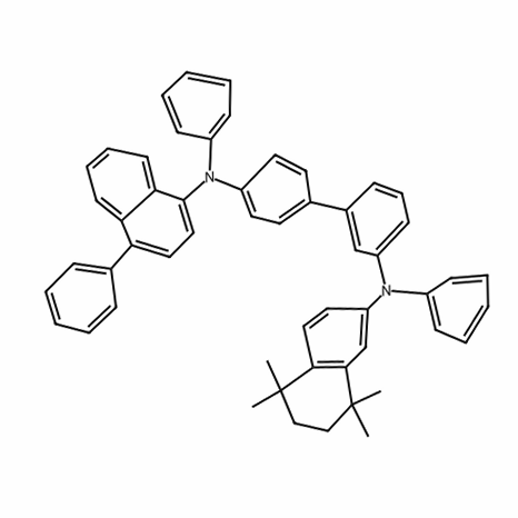 CC1(C)CCC(C)(C)c2cc(N(c3ccccc3)c3cccc(-c4ccc(N(c5ccccc5)c5ccc(-c6ccccc6)c6ccccc56)cc4)c3)ccc21